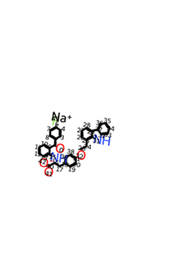 O=C(c1ccc(F)cc1)c1ccccc1NC(Cc1ccc(OCCc2cccc3c2[nH]c2ccccc23)cc1)C(=O)[O-].[Na+]